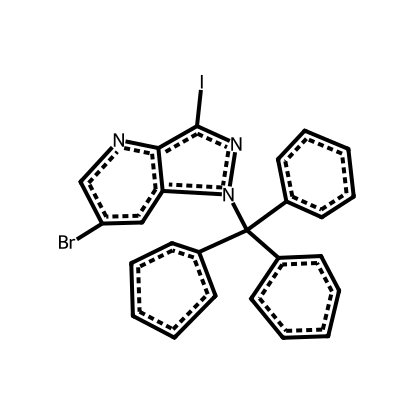 Brc1cnc2c(I)nn(C(c3ccccc3)(c3ccccc3)c3ccccc3)c2c1